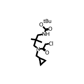 CC(C)(CNC(=O)OC(C)(C)C)CN(CC1CC1)C(=O)CCl